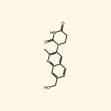 Cc1nc2cc(CO)ccc2cc1N1CCC(=O)NC1=O